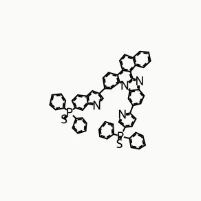 S=P(c1ccccc1)(c1ccccc1)c1ccc(-c2ccc3nc4c5c6ccccc6ccc5c5ccc(-c6cnc7cc(P(=S)(c8ccccc8)c8ccccc8)ccc7c6)cc5n4c3c2)nc1